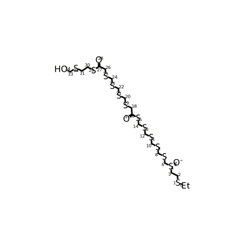 CCSCC[S+]([O-])CSCSCSCSCSC(=O)CSCSCSCSCC(=O)SCCSCO